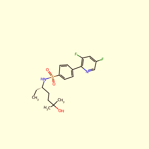 CC[C@@H](CCC(C)(C)O)NS(=O)(=O)c1ccc(-c2ncc(F)cc2F)cc1